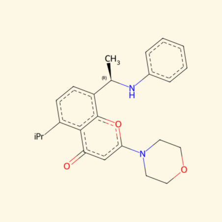 CC(C)c1ccc([C@@H](C)Nc2ccccc2)c2oc(N3CCOCC3)cc(=O)c12